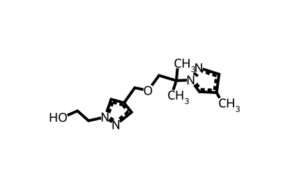 Cc1cnn(C(C)(C)COCc2cnn(CCO)c2)c1